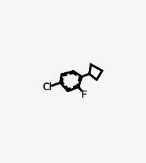 Fc1cc(Cl)ccc1C1CCC1